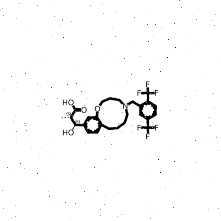 C[C@H](C(=O)O)[C@@H](O)c1ccc2c(c1)OCCCN(Cc1cc(C(F)(F)F)ccc1C(F)(F)F)CCCC2